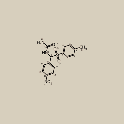 Cc1ccc(S(=O)(=O)C(NC(N)=O)c2ccc([N+](=O)[O-])cc2)cc1